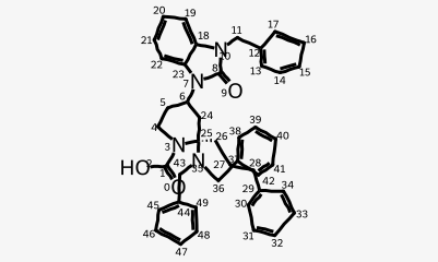 O=C(O)N1CCC(n2c(=O)n(Cc3ccccc3)c3ccccc32)C[C@@]1(CCCc1ccccc1)N(Cc1ccccc1)Cc1ccccc1